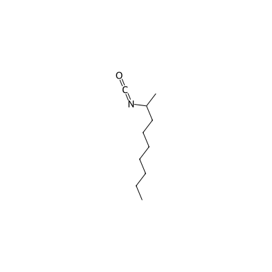 CCCCCCCC(C)N=C=O